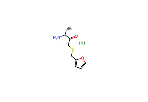 CCCCC(N)C(=O)CSCc1ccco1.Cl